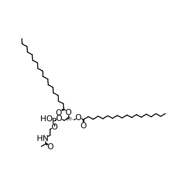 CCCCCCCCCCCCCCCCCC(=O)OC[C@H](COP(O)OCCNC(C)=O)OC(=O)CCCCCCCCCCCCCCCCC